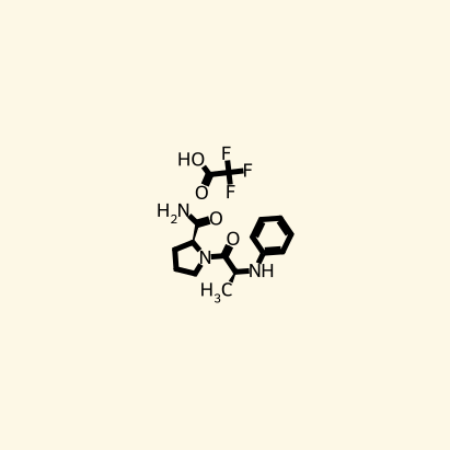 C[C@H](Nc1ccccc1)C(=O)N1CCC[C@H]1C(N)=O.O=C(O)C(F)(F)F